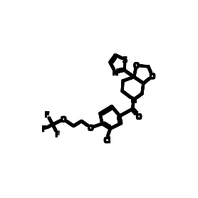 O=C(c1ccc(OCCOC(F)(F)F)c(Cl)c1)N1CCC2(c3nccs3)OCOC2C1